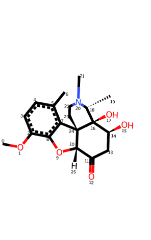 COc1ccc(C)c2c1O[C@H]1C(=O)C[C@H](O)[C@@]3(O)[C@@H](C)N(C)CC[C@]213